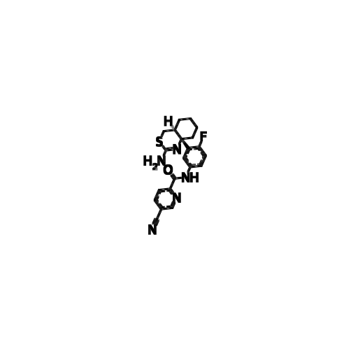 N#Cc1ccc(C(=O)Nc2ccc(F)c([C@]34CCCC[C@@H]3CSC(N)=N4)c2)nc1